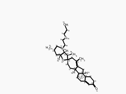 CC1=C2C[C@H]3C(CCC4=CC(=O)CC[C@@]43C)[C@@H]2CC[C@@]2(C1)O[C@@H]1C[C@H](C)CN(CCOCCO)[C@H]1[C@H]2C